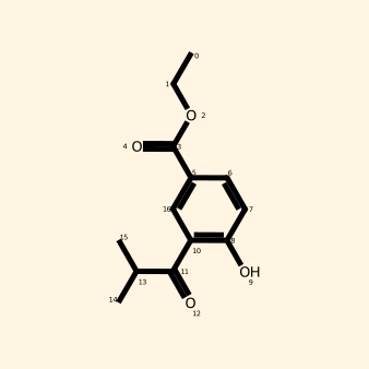 CCOC(=O)c1ccc(O)c(C(=O)C(C)C)c1